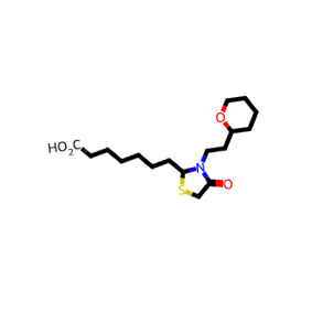 O=C(O)CCCCCCC1SCC(=O)N1CCC1CCCCO1